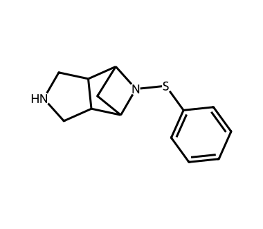 c1ccc(SN2C3CC2C2CNCC23)cc1